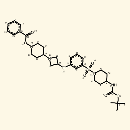 CC(C)(C)OC(=O)NC1CCN(S(=O)(=O)c2cccc(OC3CN(C4CCN(OC(=O)c5ccccc5)CC4)C3)c2)CC1